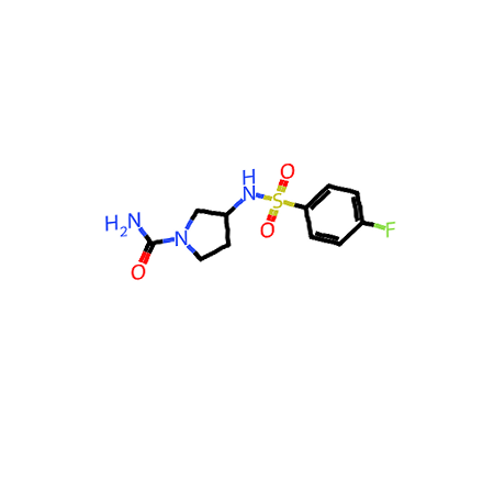 NC(=O)N1CCC(NS(=O)(=O)c2ccc(F)cc2)C1